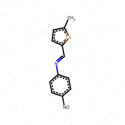 Cc1ccc(/C=N/c2ccc(N=O)cc2)s1